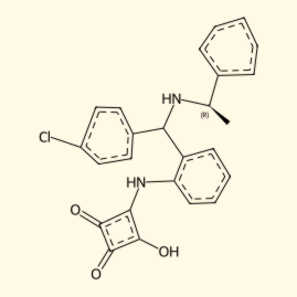 C[C@@H](NC(c1ccc(Cl)cc1)c1ccccc1Nc1c(O)c(=O)c1=O)c1ccccc1